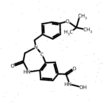 CC(C)(C)Oc1ccc(CN2CC(=O)Nc3ccc(C(=O)NO)cc3C2)cc1